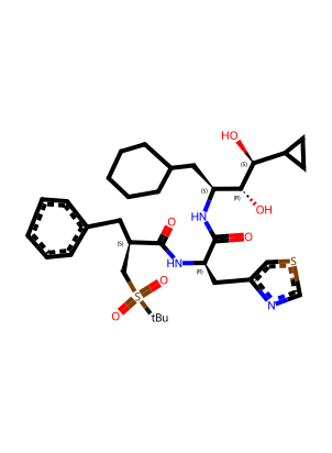 CC(C)(C)S(=O)(=O)C[C@@H](Cc1ccccc1)C(=O)N[C@H](Cc1cscn1)C(=O)N[C@@H](CC1CCCCC1)[C@@H](O)[C@@H](O)C1CC1